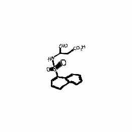 O=CC(CC(=O)O)NS(=O)(=O)c1cccc2ccccc12